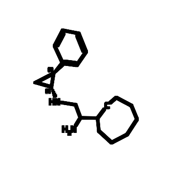 NC(CN[C@@H]1C[C@H]1c1ccccc1)C1CCCCCCC1